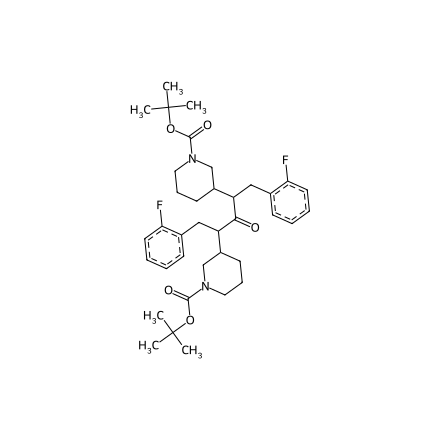 CC(C)(C)OC(=O)N1CCCC(C(Cc2ccccc2F)C(=O)C(Cc2ccccc2F)C2CCCN(C(=O)OC(C)(C)C)C2)C1